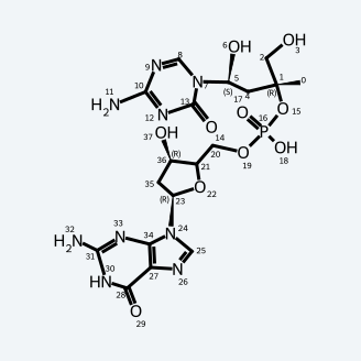 C[C@](CO)(C[C@H](O)n1cnc(N)nc1=O)OP(=O)(O)OCC1O[C@@H](n2cnc3c(=O)[nH]c(N)nc32)C[C@H]1O